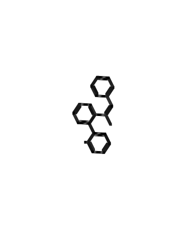 CC(=Cc1ccccc1)c1ccccc1-c1[c]cccc1